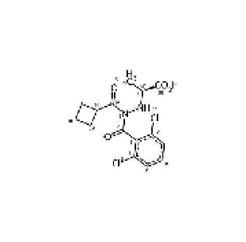 C[C@H](NN(C(=O)c1c(Cl)cccc1Cl)C(=O)C1CCC1)C(=O)O